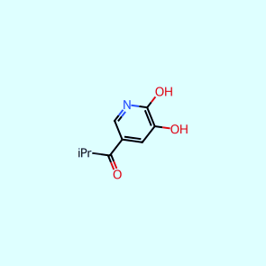 CC(C)C(=O)c1cnc(O)c(O)c1